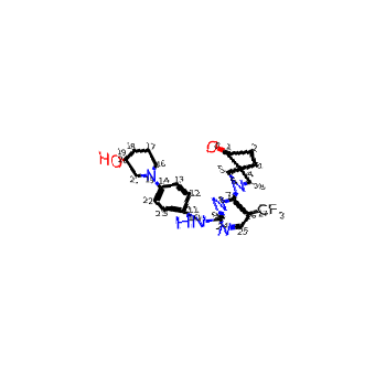 O=C1CCC12CN(c1nc(Nc3ccc(N4CCCC(O)C4)cc3)ncc1C(F)(F)F)C2